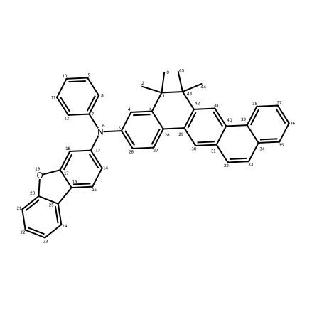 CC1(C)c2cc(N(c3ccccc3)c3ccc4c(c3)oc3ccccc34)ccc2-c2cc3ccc4ccccc4c3cc2C1(C)C